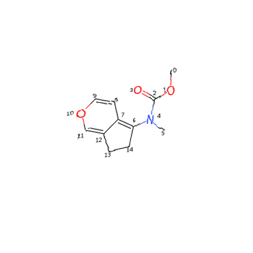 COC(=O)N(C)C1=C2C=COC=C2CC1